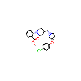 COC(=O)c1ccccc1N1CCC(CN2CC[C@H](Oc3ccc(Cl)cc3)C2)CC1